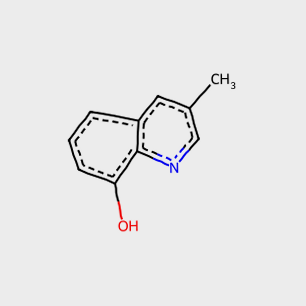 Cc1cnc2c(O)cccc2c1